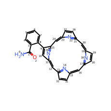 NC(=O)c1ccccc1C1=CC2=CC3=NC(=CC4=NC(=CC5=NC(=CC1=N2)C=C5)C=C4)C=C3